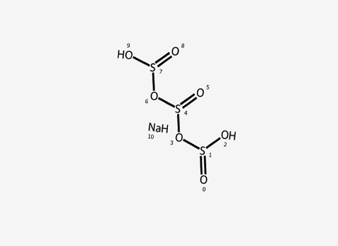 O=S(O)OS(=O)OS(=O)O.[NaH]